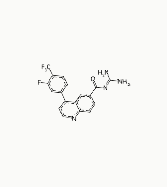 NC(N)=NC(=O)c1ccc2nccc(-c3ccc(C(F)(F)F)c(F)c3)c2c1